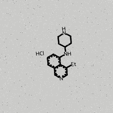 CCc1cncc2cccc(NC3CCNCC3)c12.Cl